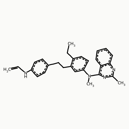 C=CNc1ccc(CCc2cc(N(C)c3nc(C)nc4ccccc34)ccc2CC)cc1